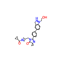 O=C(C1CC1)N1CC(CN2C(=O)C3(CC3)N=C2c2ccc(-c3ccc4c(c3)CNN4CCO)cc2)C1